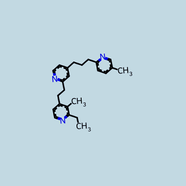 CCc1nccc(CCc2cc(CCCc3ccc(C)cn3)ccn2)c1C